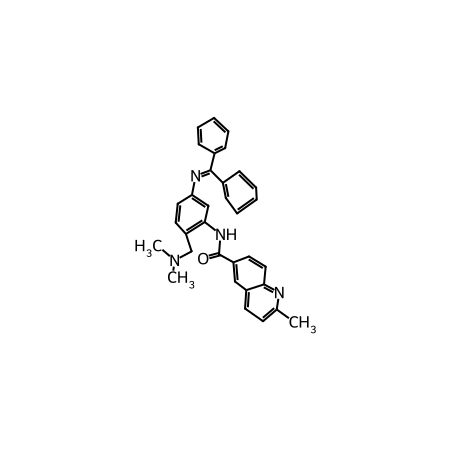 Cc1ccc2cc(C(=O)Nc3cc(N=C(c4ccccc4)c4ccccc4)ccc3CN(C)C)ccc2n1